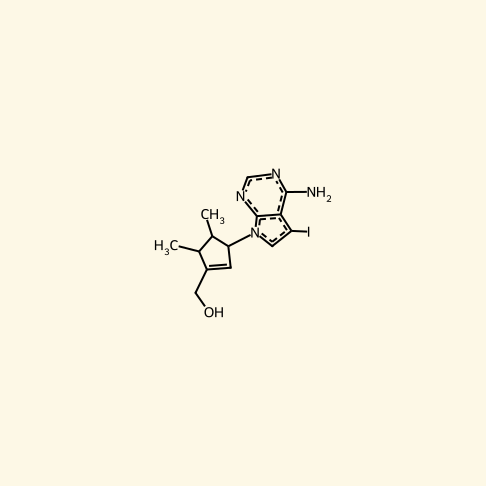 CC1C(CO)=CC(n2cc(I)c3c(N)ncnc32)C1C